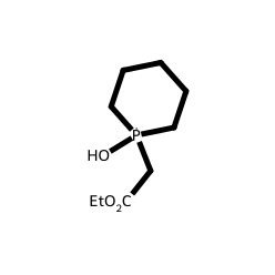 CCOC(=O)C[P]1(O)CCCCC1